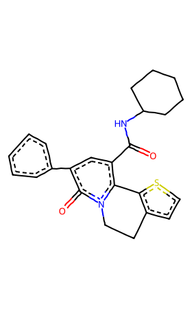 O=C(NC1CCCCC1)c1cc(-c2ccccc2)c(=O)n2c1-c1sccc1CC2